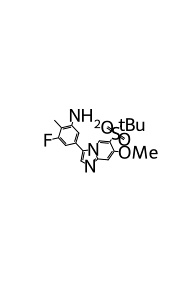 COc1cc2ncc(-c3cc(N)c(C)c(F)c3)n2cc1S(=O)(=O)C(C)(C)C